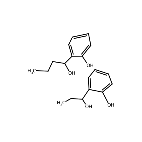 CCC(O)c1ccccc1O.CCCC(O)c1ccccc1O